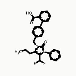 CCCc1c(C(F)F)n(-c2ccccc2)c(=O)n1Cc1ccc(-c2ccccc2C(=O)O)cc1